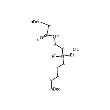 CCCCCCCCCCCCCC[N+](CC)(CC)CCOC(=O)CCCCCCCCCCC.[Cl-]